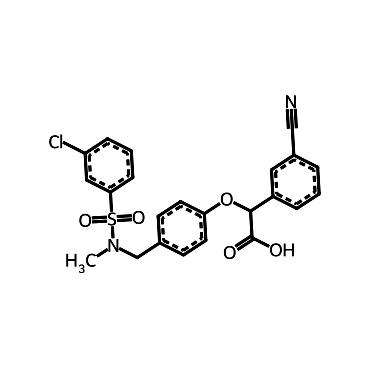 CN(Cc1ccc(OC(C(=O)O)c2cccc(C#N)c2)cc1)S(=O)(=O)c1cccc(Cl)c1